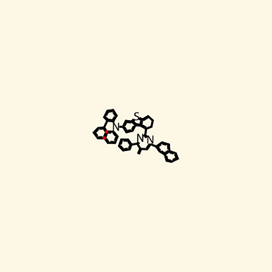 C=C1C=C(c2ccc3ccccc3c2)N=C(C2=c3c(sc4cc(N(c5ccccc5)c5ccccc5-c5ccccc5)ccc34)=CCC2)N=C1c1ccccc1